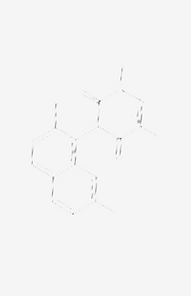 Cc1ccc2ccc(C)c(C3C(=O)C(Cl)=NN(C)C3=O)c2c1